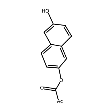 CC(=O)C(=O)Oc1ccc2cc(O)ccc2c1